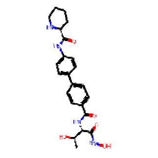 C[C@@H](O)[C@H](NC(=O)c1ccc(-c2ccc(NC(=O)[C@@H]3CCCCN3)cc2)cc1)C(=O)NO